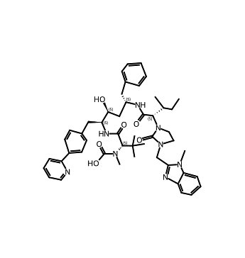 CCC(C)[C@@H](C(=O)N[C@@H](Cc1ccccc1)C[C@H](O)[C@H](Cc1ccc(-c2ccccn2)cc1)NC(=O)[C@@H](N(C)C(=O)O)C(C)(C)C)N1CCN(Cc2nc3ccccc3n2C)C1=O